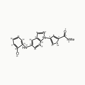 CNC(=O)c1cc(-n2ncc3cc(Nc4ccccc4Cl)cnc32)cs1